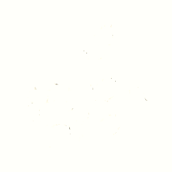 c1ccc(-c2ccccc2-c2nc(-c3cnc4ccccc4c3)nc(-c3cc4ccc5cccc6c7cccc8ccc9cccc(c(c3)c4c56)c9c87)n2)cc1